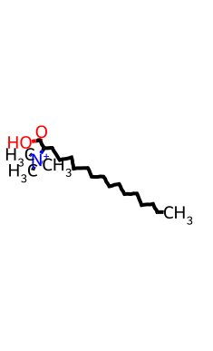 CCCCCCCCCCCCCCCC(C(=O)O)[N+](C)(C)C